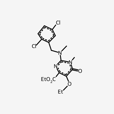 CCOC(=O)c1nc(N(C)Cc2cc(Cl)ccc2Cl)n(C)c(=O)c1OCC